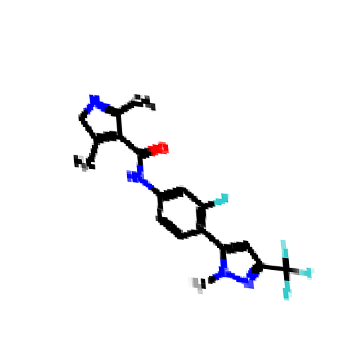 CC1=NCC(C)=C1C(=O)Nc1ccc(-c2cc(C(F)(F)F)nn2C)c(F)c1